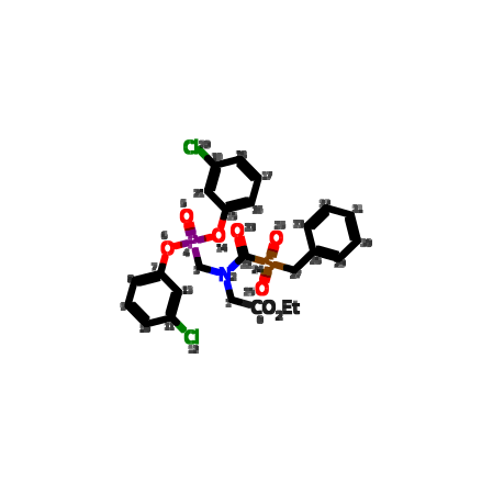 CCOC(=O)CN(CP(=O)(Oc1cccc(Cl)c1)Oc1cccc(Cl)c1)C(=O)S(=O)(=O)Cc1ccccc1